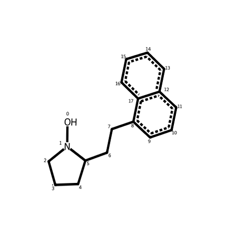 ON1C[CH]CC1CCc1cccc2ccccc12